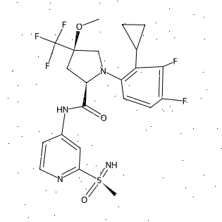 CO[C@]1(C(F)(F)F)C[C@H](C(=O)Nc2ccnc([S@](C)(=N)=O)c2)N(c2ccc(F)c(F)c2C2CC2)C1